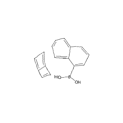 OB(O)c1cccc2ccccc12.c1cc2ccc1-2